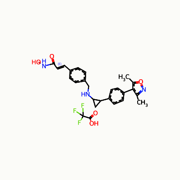 Cc1noc(C)c1-c1ccc(C2CC2NCc2ccc(/C=C/C(=O)NO)cc2)cc1.O=C(O)C(F)(F)F